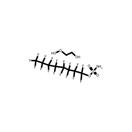 NS(=O)(=O)OC(F)(F)C(F)(F)C(F)(F)C(F)(F)C(F)(F)C(F)(F)C(F)(F)C(F)(F)F.OCCOO